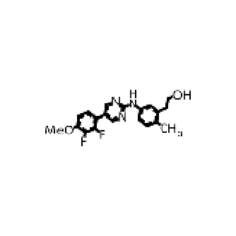 COc1ccc(-c2cnc(Nc3ccc(C)c(CCO)c3)nc2)c(F)c1F